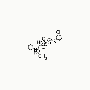 Cc1cc(CC(=O)NS(=O)(=O)c2ccc(Sc3cccc(Cl)c3)s2)n(-c2ccccc2)n1